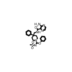 CS(=O)(=O)/N=C(/Oc1ccccc1)N1CCC(CNC(=O)c2nccnc2N)(c2ccccc2)CC1